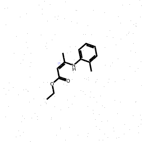 CCOC(=O)/C=C(/C)Nc1ccccc1C